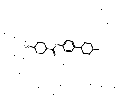 CC(=O)OC1CCC(C(=O)Oc2ccc(C3CCC(C)CC3)cc2)CC1